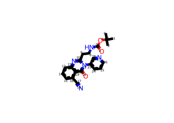 CC(C)(C)OC(=O)NCCc1nc2cccc(C#N)c2c(=O)n1-c1cccnc1